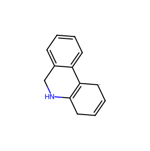 [CH]1C=CCC2=C1c1ccccc1CN2